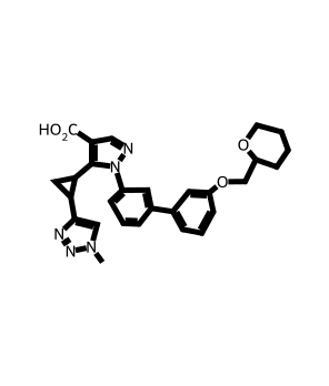 Cn1cc(C2CC2c2c(C(=O)O)cnn2-c2cccc(-c3cccc(OCC4CCCCO4)c3)c2)nn1